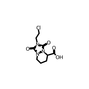 O=C(O)C1CCCn2c(=O)n(CCCl)c(=O)n21